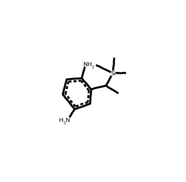 CC(c1cc(N)ccc1N)[Si](C)(C)C